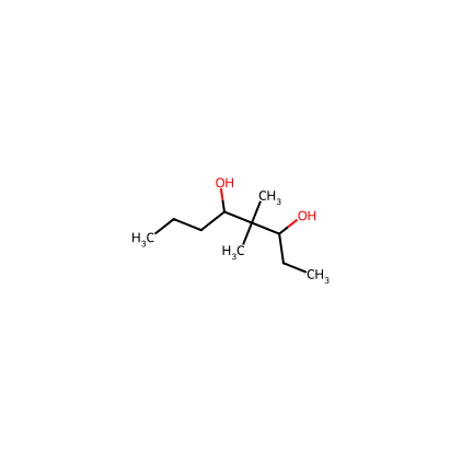 CCCC(O)C(C)(C)C(O)CC